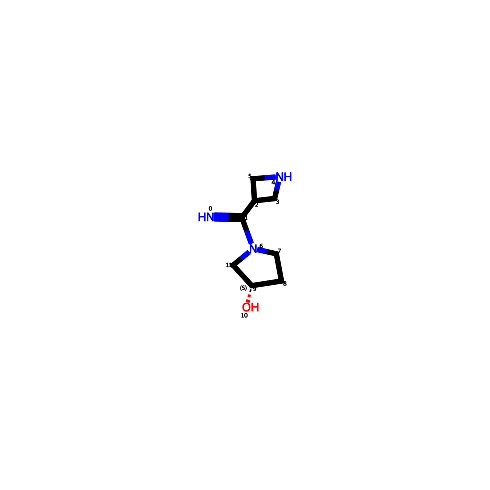 N=C(C1CNC1)N1CC[C@H](O)C1